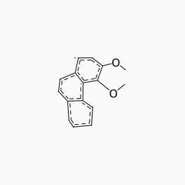 COc1c[c]c2ccc3ccccc3c2c1OC